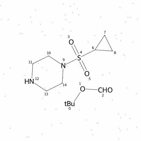 CC(C)(C)OC=O.O=S(=O)(C1CC1)N1CCNCC1